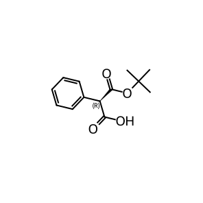 CC(C)(C)OC(=O)[C@@H](C(=O)O)c1ccccc1